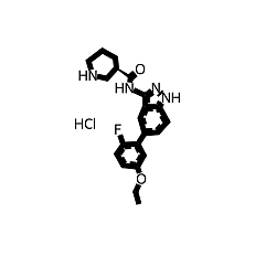 CCOc1ccc(F)c(-c2ccc3[nH]nc(NC(=O)[C@@H]4CCCNC4)c3c2)c1.Cl